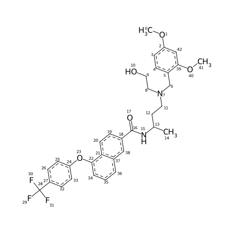 COc1ccc(CN(CCO)CCC(C)NC(=O)c2ccc3c(Oc4ccc(C(F)(F)F)cc4)cccc3c2)c(OC)c1